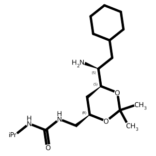 CC(C)NC(=O)NC[C@H]1C[C@@H]([C@@H](N)CC2CCCCC2)OC(C)(C)O1